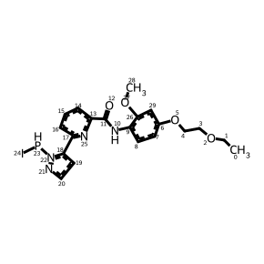 CCOCCOc1ccc(NC(=O)c2cccc(-c3ccnn3PI)n2)c(OC)c1